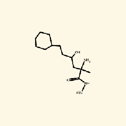 CCCCNC(=O)C(C)(N)CC(O)CCC1CCCCC1